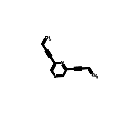 C=CC#Cc1cncc(C#CC=C)n1